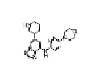 c1nc2c(Nc3ccc(N4CCOCC4)nn3)cc(C3CCCNC3)cn2n1